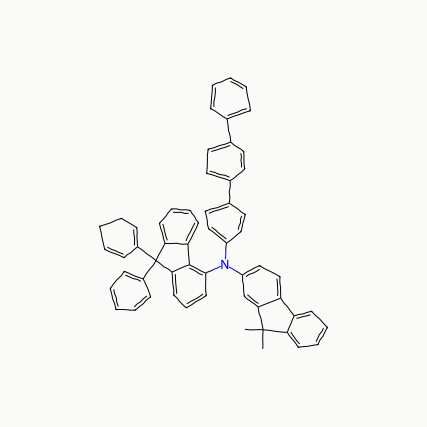 CC1(C)c2ccccc2-c2ccc(N(c3ccc(-c4ccc(-c5ccccc5)cc4)cc3)c3cccc4c3-c3ccccc3C4(C3=CCCC=C3)c3ccccc3)cc21